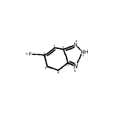 FC1=Cc2n[nH]nc2CC1